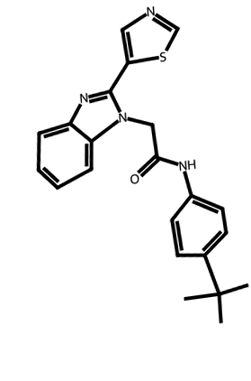 CC(C)(C)c1ccc(NC(=O)Cn2c(-c3cncs3)nc3ccccc32)cc1